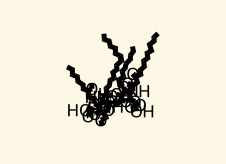 CCCCCC/C=C\CCCCCCCC(=O)NC1C(OCC2OC(OP(=O)(O)O)C(NC(=O)CC(=O)CCCCCCCCCCC)C(OCCCCCCCCCC)C2O)OC(COC)C(OP(=O)(O)O)C1OCCC(CCCCCCC)OC